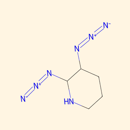 [N-]=[N+]=NC1CCCNC1N=[N+]=[N-]